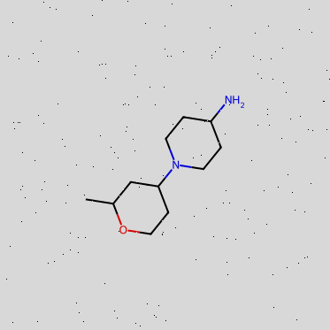 CC1CC(N2CCC(N)CC2)CCO1